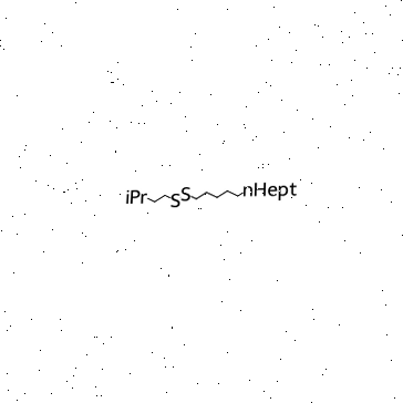 CCCCCCCCCCCCSSCCC(C)C